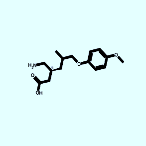 COc1ccc(OCC(C)C[C@H](CN)CC(=O)O)cc1